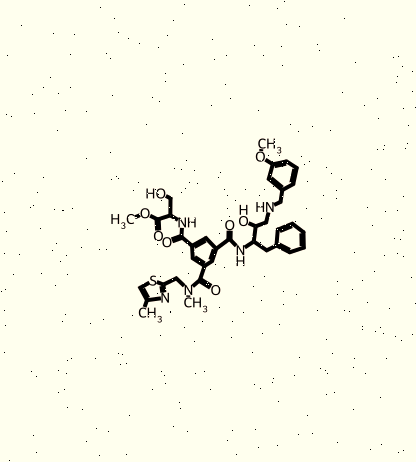 COC(=O)C(CO)NC(=O)c1cc(C(=O)NC(Cc2ccccc2)C(O)CNCc2cccc(OC)c2)cc(C(=O)N(C)Cc2nc(C)cs2)c1